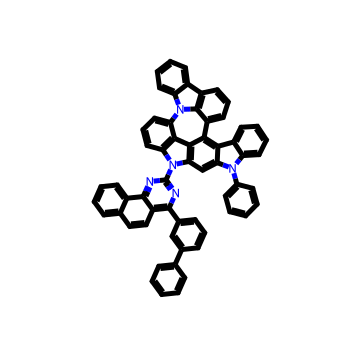 c1ccc(-c2cccc(-c3nc(-n4c5cc6c(c7ccccc7n6-c6ccccc6)c6c7cccc8c9ccccc9n(c9cccc4c9c65)c87)nc4c3ccc3ccccc34)c2)cc1